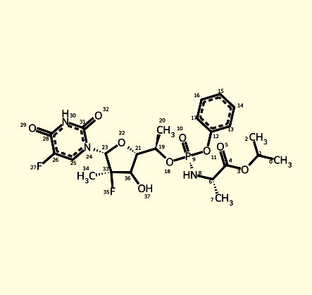 CC(C)OC(=O)[C@H](C)N[P@](=O)(Oc1ccccc1)O[C@H](C)[C@H]1O[C@@H](n2cc(F)c(=O)[nH]c2=O)[C@](C)(F)C1O